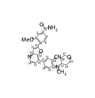 COc1cc(C(N)=O)ccc1-c1cc2nccc(-c3ccc(N(C)C4CCOCC4)c(C#N)c3)c2o1